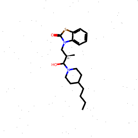 CCCCC1CCN(C(O)[C@H](C)Cn2c(=O)sc3ccccc32)CC1